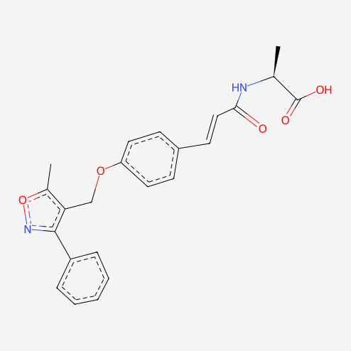 Cc1onc(-c2ccccc2)c1COc1ccc(/C=C/C(=O)N[C@@H](C)C(=O)O)cc1